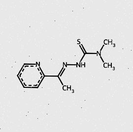 CC(=NNC(=S)N(C)C)c1ccccn1